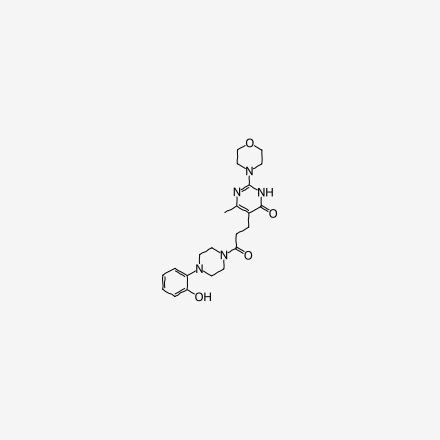 Cc1nc(N2CCOCC2)[nH]c(=O)c1CCC(=O)N1CCN(c2ccccc2O)CC1